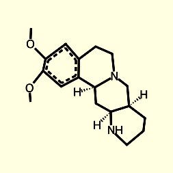 COc1cc2c(cc1OC)[C@@H]1C[C@@H]3NCCC[C@@H]3CN1CC2